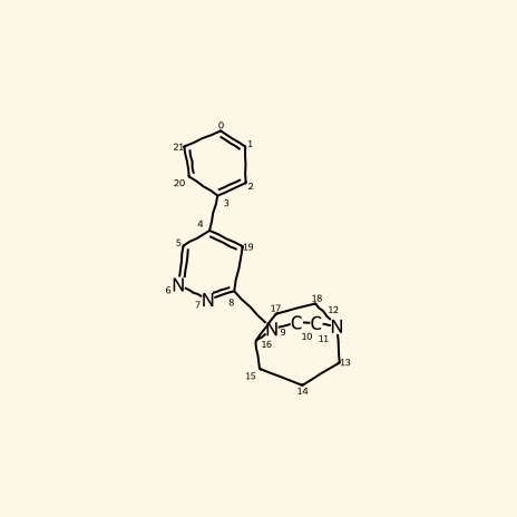 c1ccc(-c2cnnc(N3CCN4CCCC3CC4)c2)cc1